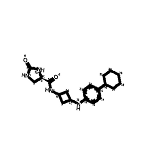 O=C1NC[C@H](C(=O)NC2CC(Nc3ccc(C4CCCCC4)cc3)C2)N1